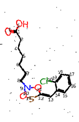 O=C(O)CCCCCCN1OSC(=Cc2ccccc2Cl)O1